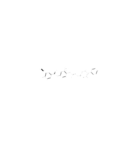 C#Cc1cc(C(=O)Nc2ccc(CNCCN3CCN(c4ccccc4)CC3)c(C(F)(F)F)c2)ccc1C